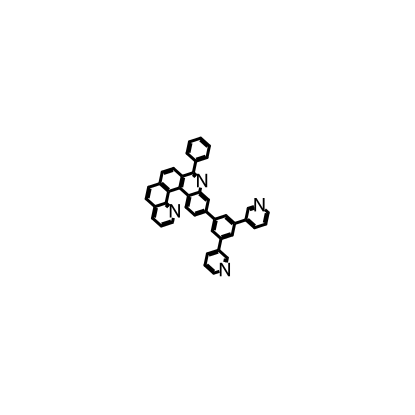 c1ccc(-c2nc3cc(-c4cc(-c5cccnc5)cc(-c5cccnc5)c4)ccc3c3c2ccc2ccc4cccnc4c23)cc1